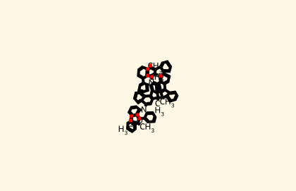 Cc1cccc(-c2ccccc2N(c2cc3c(c4ccccc24)-c2ccccc2C3(C)C2(C)c3ccccc3-c3c2cc(N(c2ccccc2-c2cccc(C)c2C)c2cccc4c2oc2ccccc24)c2ccccc32)c2cccc3c2oc2ccccc23)c1C